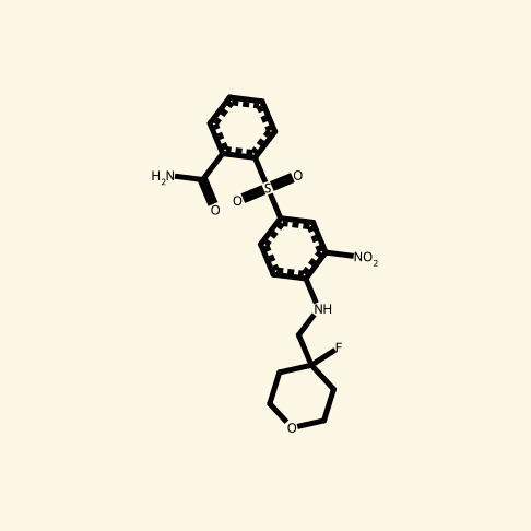 NC(=O)c1ccccc1S(=O)(=O)c1ccc(NCC2(F)CCOCC2)c([N+](=O)[O-])c1